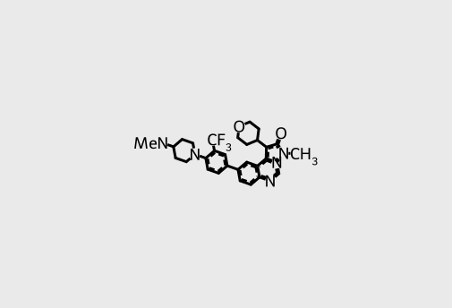 CNC1CCN(c2ccc(-c3ccc4ncn5c(c(C6CCOCC6)c(=O)n5C)c4c3)cc2C(F)(F)F)CC1